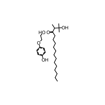 CCCCCCCCCCCCCC(=O)C(C)C(C)(C)O.OCCOc1ccc(O)cc1